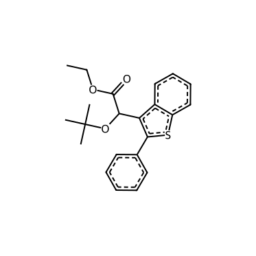 CCOC(=O)C(OC(C)(C)C)c1c(-c2ccccc2)sc2ccccc12